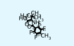 Cc1c(F)c(F)c(C(=O)N[C@@H](C(=O)O)C(C)(C)C)c(F)c1F